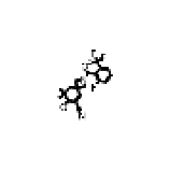 CC1(C)CC2(C=C(C#N)C1=O)CN(C(=O)c1c(F)cccc1C(F)(F)F)C2